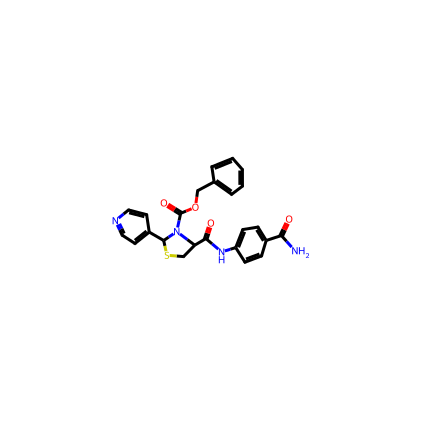 NC(=O)c1ccc(NC(=O)C2CSC(c3ccncc3)N2C(=O)OCc2ccccc2)cc1